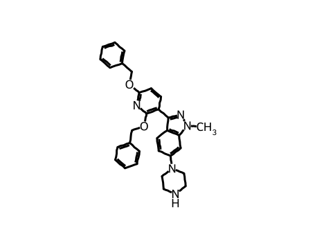 Cn1nc(-c2ccc(OCc3ccccc3)nc2OCc2ccccc2)c2ccc(N3CCNCC3)cc21